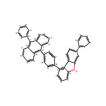 c1ccc(-c2ccc3c(c2)oc2cccc(-c4ccc(-c5c6ccccc6c(-c6ccccc6)c6ccccc56)cc4)c23)cc1